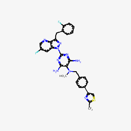 Nc1nc(-n2nc(Cc3ccccc3F)c3ncc(F)cc32)nc(N)c1N(Cc1ccc(-c2csc(C(F)(F)F)n2)cc1)C(=O)O